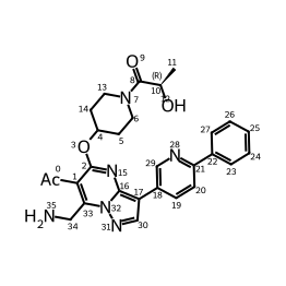 CC(=O)c1c(OC2CCN(C(=O)[C@@H](C)O)CC2)nc2c(-c3ccc(-c4ccccc4)nc3)cnn2c1CN